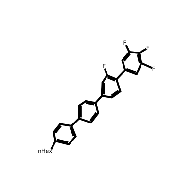 CCCCCCc1ccc(-c2ccc(-c3ccc(-c4cc(F)c(F)c(F)c4)c(F)c3)cc2)cc1